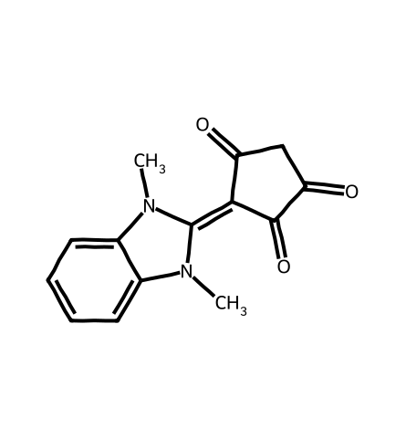 CN1C(=C2C(=O)CC(=O)C2=O)N(C)c2ccccc21